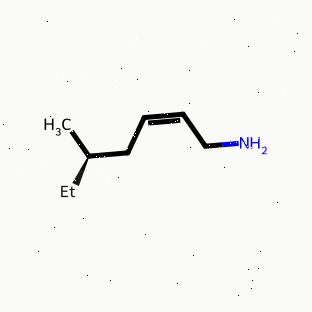 CC[C@@H](C)C/C=C\CN